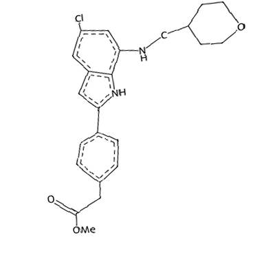 COC(=O)Cc1ccc(-c2cc3cc(Cl)cc(NCC4CCOCC4)c3[nH]2)cc1